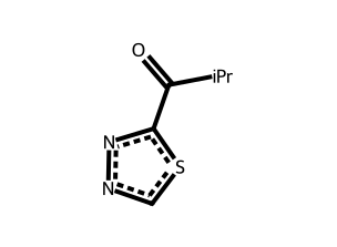 CC(C)C(=O)c1nncs1